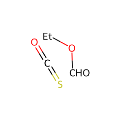 CCOC=O.O=C=S